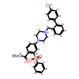 COC(=O)c1ccc(N2CCN(Cc3ccccc3-c3ccc(Cl)cc3)CC2)cc1S(=O)(=O)c1ccccc1